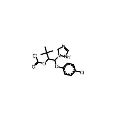 CC(C)(C)C(OC(=O)Cl)C(Oc1ccc(Cl)cc1)N1CN=CN1